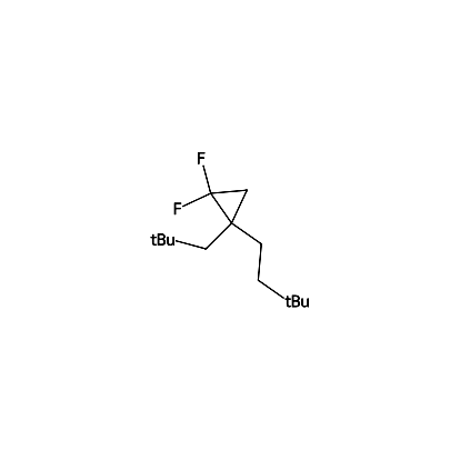 CC(C)(C)CCC1(CC(C)(C)C)CC1(F)F